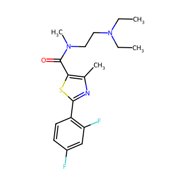 CCN(CC)CCN(C)C(=O)c1sc(-c2ccc(F)cc2F)nc1C